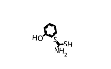 NC(=S)S.Oc1ccccc1